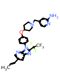 C/C=C/c1cnc2c(c1)nc(C(F)(F)C(F)(F)F)n2-c1ccc(OC2CCN(Cc3ccnc(N)c3)CC2)cc1